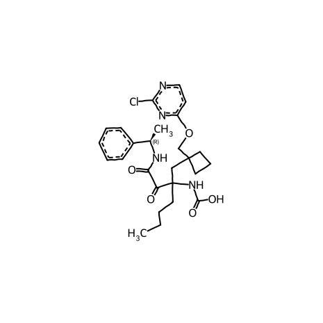 CCCCC(CC1(COc2ccnc(Cl)n2)CCC1)(NC(=O)O)C(=O)C(=O)N[C@H](C)c1ccccc1